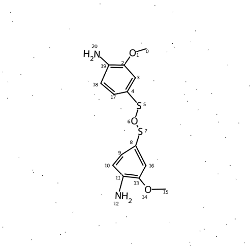 COc1cc(SOSc2ccc(N)c(OC)c2)ccc1N